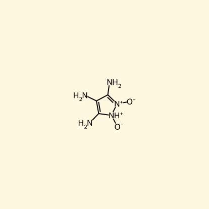 NC1=C(N)[NH+]([O-])[N+]([O-])=C1N